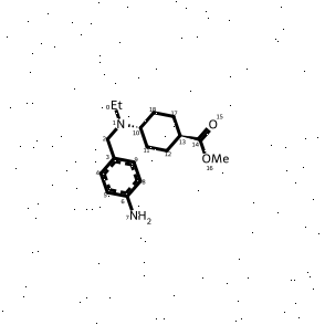 CCN(Cc1ccc(N)cc1)[C@H]1CC[C@H](C(=O)OC)CC1